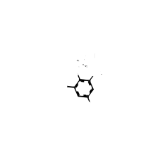 Cc1cc(Br)c(O[Si](C)(C)C)c(C(C)(C)C)c1